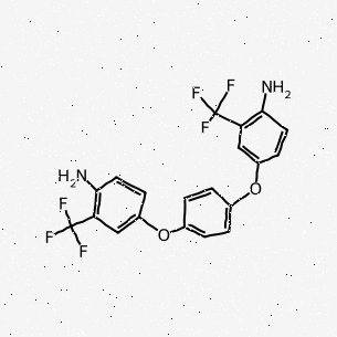 Nc1ccc(Oc2ccc(Oc3ccc(N)c(C(F)(F)F)c3)cc2)cc1C(F)(F)F